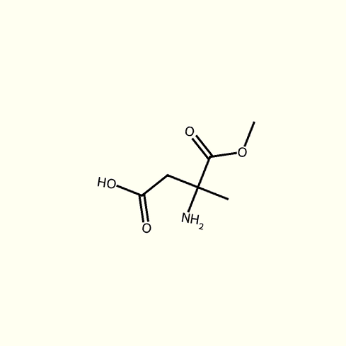 COC(=O)C(C)(N)CC(=O)O